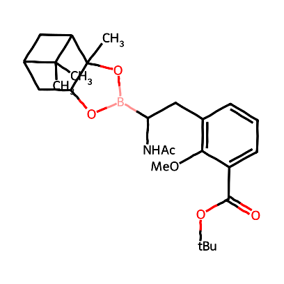 COc1c(CC(NC(C)=O)B2OC3CC4CC(C4(C)C)C3(C)O2)cccc1C(=O)OC(C)(C)C